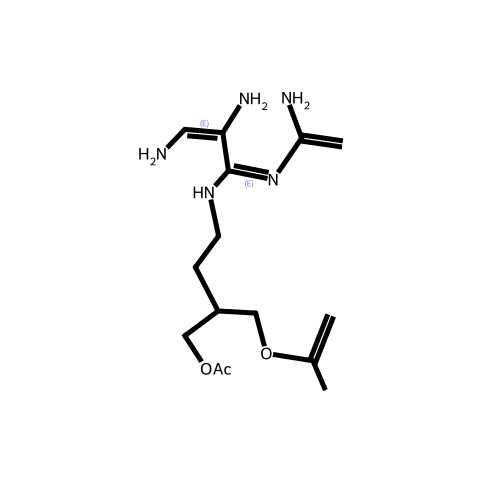 C=C(N)/N=C(NCCC(COC(=C)C)COC(C)=O)\C(N)=C/N